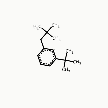 CC(C)(C)Cc1[c]c(C(C)(C)C)ccc1